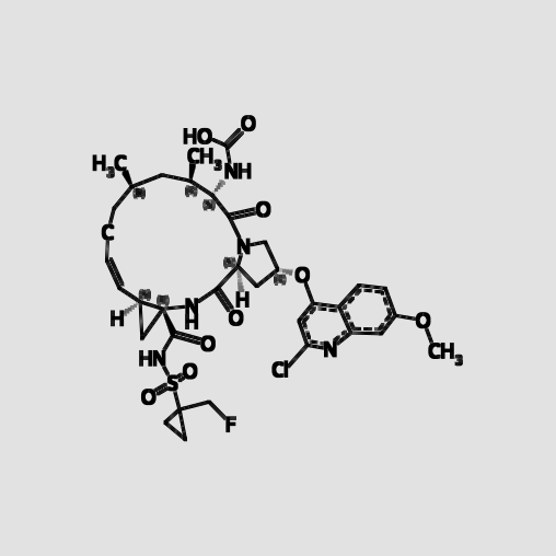 COc1ccc2c(O[C@@H]3C[C@H]4C(=O)N[C@]5(C(=O)NS(=O)(=O)C6(CF)CC6)C[C@H]5C=CCC[C@@H](C)C[C@@H](C)[C@H](NC(=O)O)C(=O)N4C3)cc(Cl)nc2c1